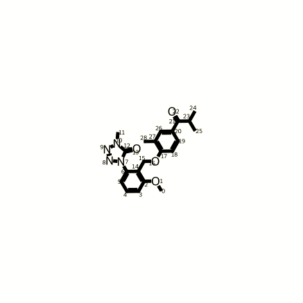 COc1cccc(-n2nnn(C)c2=O)c1COc1ccc(C(=O)C(C)C)cc1C